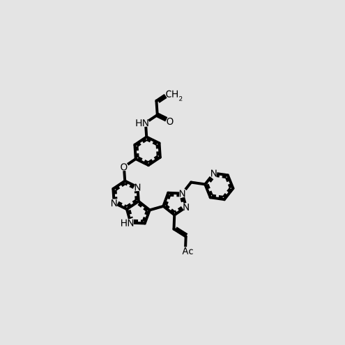 C=CC(=O)Nc1cccc(Oc2cnc3[nH]cc(-c4cn(Cc5ccccn5)nc4C=CC(C)=O)c3n2)c1